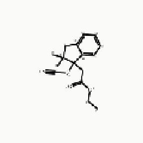 CCOC(=O)CC1(SC#N)c2ccccc2CC1(C)C